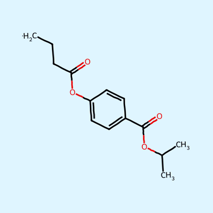 [CH2]CCC(=O)Oc1ccc(C(=O)OC(C)C)cc1